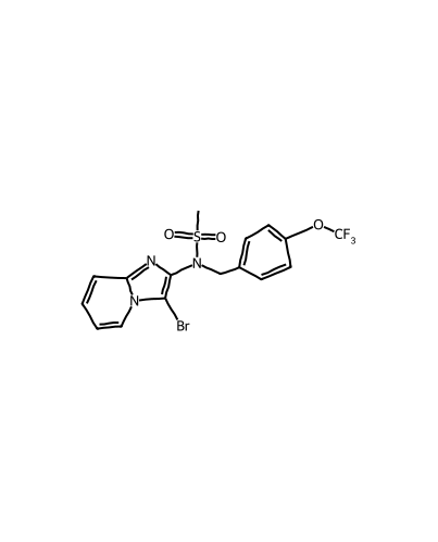 CS(=O)(=O)N(Cc1ccc(OC(F)(F)F)cc1)c1nc2ccccn2c1Br